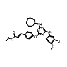 CCOC(=O)/C=C/c1ccc(Oc2nc(Nc3ccc(OC)c(Cl)c3)nc(NC3CCCCCC3)n2)cc1